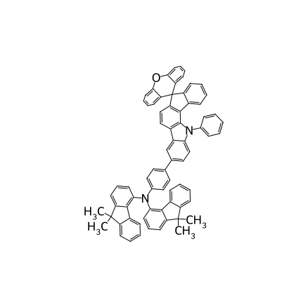 CC1(C)c2ccccc2-c2c(N(c3ccc(-c4ccc5c(c4)c4ccc6c(c4n5-c4ccccc4)-c4ccccc4C64c5ccccc5Oc5ccccc54)cc3)c3cccc4c3-c3ccccc3C4(C)C)cccc21